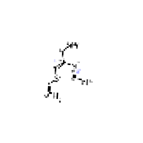 C=CS/C=C(CC(C)C)\N=C\C(C)C